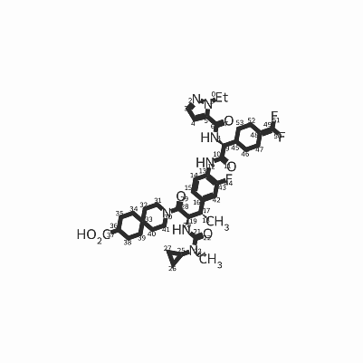 CCn1nccc1C(=O)N[C@H](C(=O)Nc1ccc([C@H](C)[C@@H](NC(=O)N(C)C2CC2)C(=O)N2CCC3(CCC(C(=O)O)CC3)CC2)cc1F)C1CCC(=C(F)F)CC1